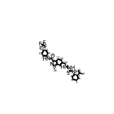 CC(C)c1ccccc1NC(=S)NNCc1ccc2c(C(=O)Nc3ccc(OC(F)(F)F)cc3)nn(C)c2c1